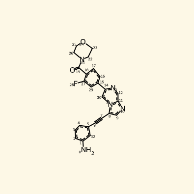 Nc1cccc(C#Cc2cnc3cnc(-c4ccc(C(=O)N5CCOCC5)c(F)c4)cn23)c1